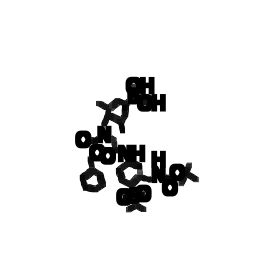 Cc1cc(B(O)O)cc(C)c1CN(CC(=O)Nc1ccc(S(=O)(=O)C(C)C)c(CNC(=O)OC(C)(C)C)c1)C(=O)OCc1ccccc1